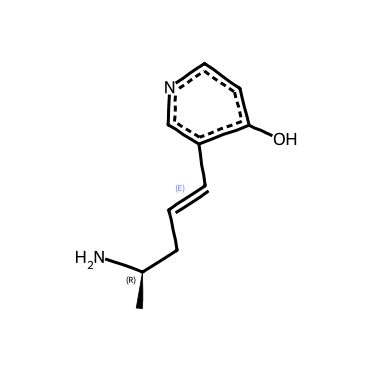 C[C@@H](N)C/C=C/c1cnccc1O